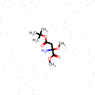 COC(=O)C(N)(CC(=O)OC(C)(C)C)OC